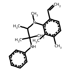 C=Cc1ccc(C)c(C)c1N(C)C(C)C(C)(C)Nc1ccccc1